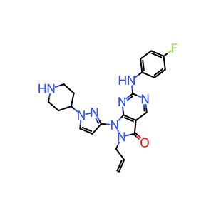 C=CCn1c(=O)c2cnc(Nc3ccc(F)cc3)nc2n1-c1ccn(C2CCNCC2)n1